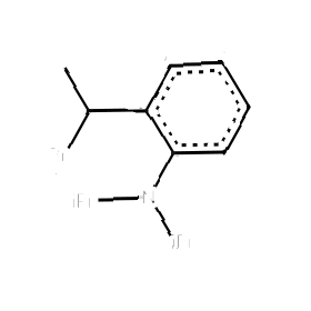 CC(Br)c1ccccc1N(C(C)C)C(C)C